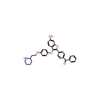 O=C(c1ccccc1)c1ccc(-c2sc3cc(O)ccc3c2Oc2ccc(OCCC3CCCCN3)cc2)cc1